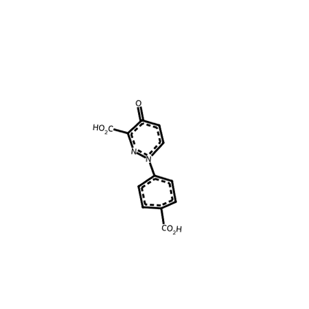 O=C(O)c1ccc(-n2ccc(=O)c(C(=O)O)n2)cc1